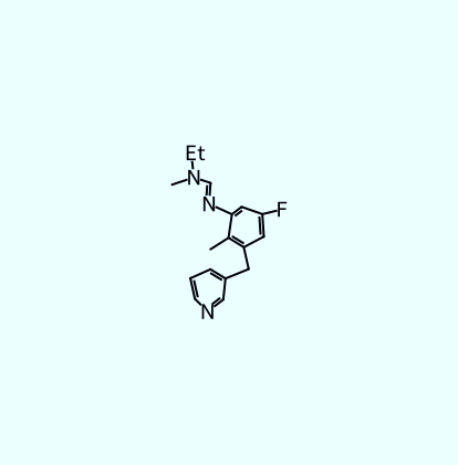 CCN(C)C=Nc1cc(F)cc(Cc2cccnc2)c1C